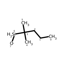 CCCC(C)(C)[SiH2][O]